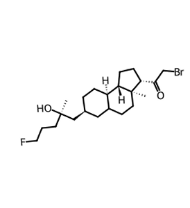 C[C@@](O)(CCCF)C[C@H]1CC[C@@H]2C(CC[C@]3(C)[C@@H](C(=O)CBr)CC[C@@H]23)C1